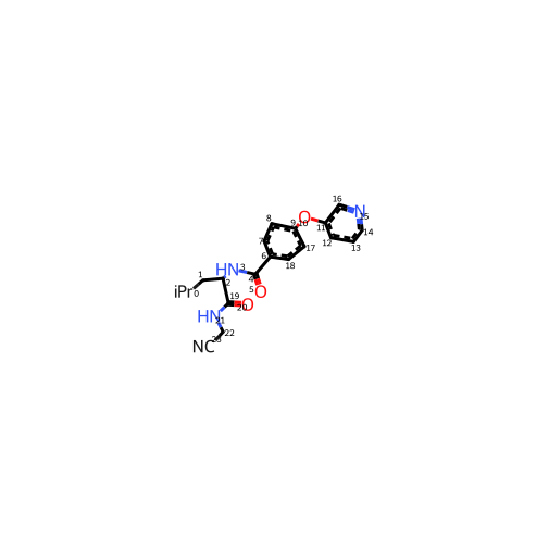 CC(C)CC(NC(=O)c1ccc(Oc2cccnc2)cc1)C(=O)NCC#N